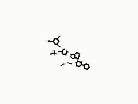 C[C@@](CO)(NCc1cc(Cl)c(O[C@H]2CCc3c(-c4c(OCCNCCO)ccc(-c5ccccc5)c4Cl)cccc32)nc1OCc1cc(C#N)cc(C#N)c1)C(=O)O